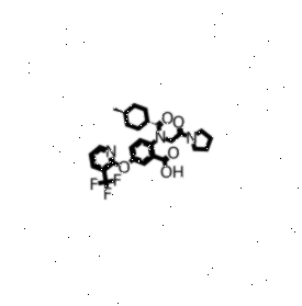 C[C@H]1CC[C@H](C(=O)N(CC(=O)N2CCCC2)c2ccc(Oc3ncccc3C(F)(F)F)cc2C(=O)O)CC1